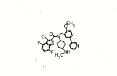 CN[C@H]1CC[C@@H](N(Cc2cc(-c3cccnc3)ccc2OC)C(=O)c2sc3c(F)ccc(F)c3c2Cl)CC1